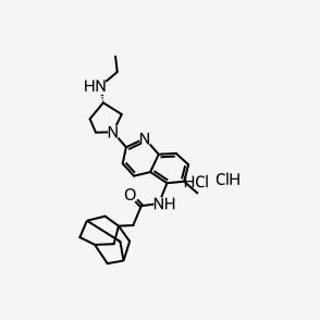 CCN[C@H]1CCN(c2ccc3c(NC(=O)CC45CC6CC(CC(C6)C4)C5)c(C)ccc3n2)C1.Cl.Cl